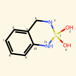 OS1(O)[N]Cc2ccccc2N1